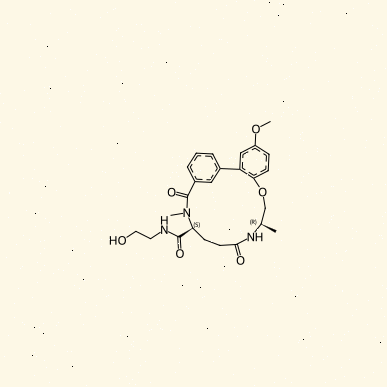 COc1ccc2c(c1)-c1cccc(c1)C(=O)N(C)[C@H](C(=O)NCCO)CCC(=O)N[C@H](C)CO2